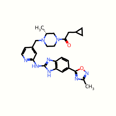 Cc1noc(-c2ccc3nc(Nc4cc(CN5CCN(C(=O)CC6CC6)C[C@H]5C)ccn4)[nH]c3c2)n1